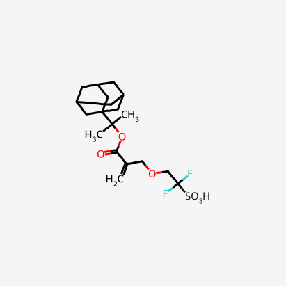 C=C(COCC(F)(F)S(=O)(=O)O)C(=O)OC(C)(C)C12CC3CC(CC(C3)C1)C2